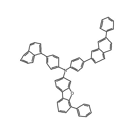 c1ccc(-c2ccc3ccc(-c4ccc(N(c5ccc(-c6cccc7ccccc67)cc5)c5ccc6c(c5)oc5c(-c7ccccc7)cccc56)cc4)cc3c2)cc1